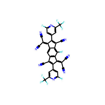 N#CC(C#N)=C1C(c2cc(F)nc(C(F)(F)F)c2)=C(C#N)c2c1cc1c(c2F)C(=C(C#N)C#N)C(c2cc(F)nc(C(F)(F)F)c2)=C1C#N